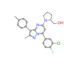 Cc1ccc(-c2c(C)nn3c(-c4ccc(F)c(Cl)c4)cc(N4CCCC4CO)nc23)cc1